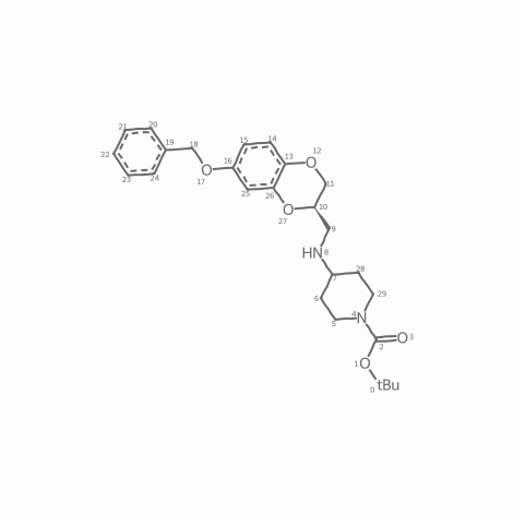 CC(C)(C)OC(=O)N1CCC(NC[C@@H]2COc3ccc(OCc4ccccc4)cc3O2)CC1